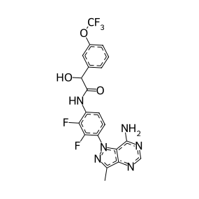 Cc1nn(-c2ccc(NC(=O)C(O)c3cccc(OC(F)(F)F)c3)c(F)c2F)c2c(N)ncnc12